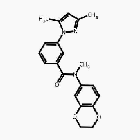 Cc1cc(C)n(-c2cccc(C(=O)N(C)c3ccc4c(c3)OCCO4)c2)n1